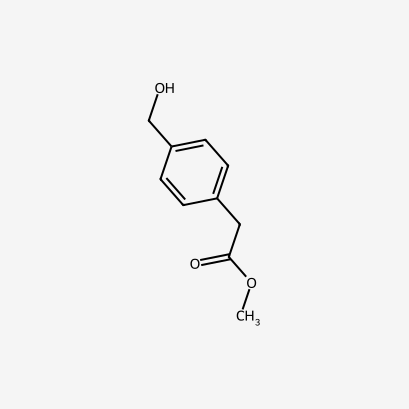 COC(=O)Cc1ccc(CO)cc1